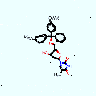 COc1ccc(C(OC[C@H]2O[C@@H](n3cc(C)c(=O)[nH]c3=O)C[C]2O)(c2ccccc2)c2ccc(OC)cc2)cc1